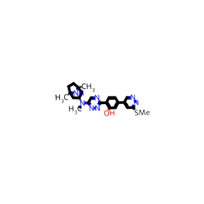 CSc1cc(-c2ccc(-c3ncc(N(C)[C@H]4C[C@]5(C)CC[C@](C)(C4)N5)nn3)c(O)c2)cnn1